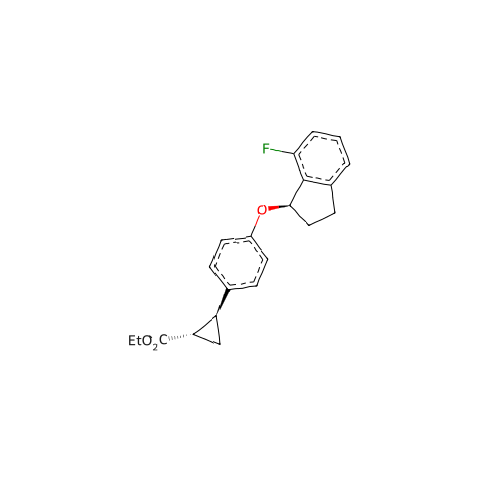 CCOC(=O)[C@H]1C[C@@H]1c1ccc(O[C@@H]2CCc3cccc(F)c32)cc1